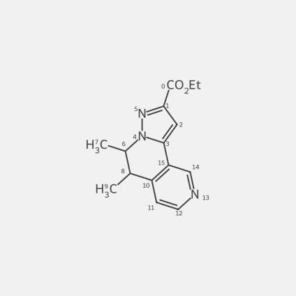 CCOC(=O)c1cc2n(n1)C(C)C(C)c1ccncc1-2